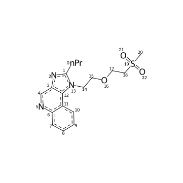 CCCc1nc2cnc3ccccc3c2n1CCOCCS(C)(=O)=O